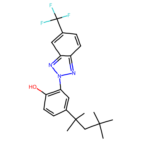 CC(C)(C)CC(C)(C)c1ccc(O)c(-n2nc3ccc(C(F)(F)F)cc3n2)c1